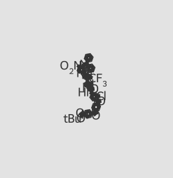 Cn1c(-c2cn(-c3cc(N=C(c4ccccc4)c4ccccc4)c([N+](=O)[O-])cn3)nc2C(F)(F)F)cnc1C(=O)Nc1ccc(C(=O)N2CCN(C(=O)C3CCN(C(=O)OC(C)(C)C)CC3)CC2)c(Cl)c1